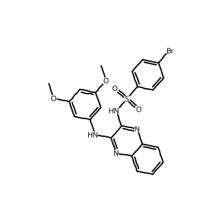 COc1cc(Nc2nc3ccccc3nc2NS(=O)(=O)c2ccc(Br)cc2)cc(OC)c1